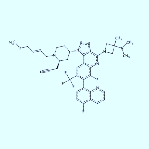 COC/C=C/CN1CC[C@H](n2nnc3c(N4CC(C)(N(C)C)C4)nc4c(F)c(-c5ccc(F)c6cccnc56)c(C(F)(F)F)cc4c32)C[C@H]1CC#N